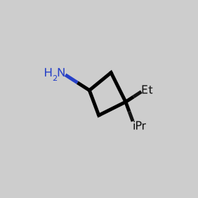 CCC1(C(C)C)CC(N)C1